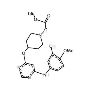 COc1ccc(Nc2cc(OC3CCN(OC(=O)OC(C)(C)C)CC3)ncn2)cc1O